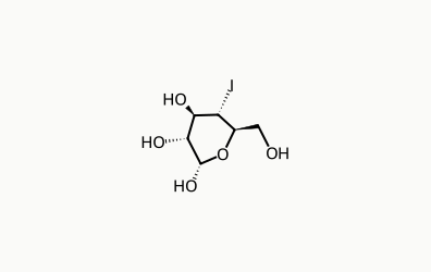 OC[C@H]1O[C@H](O)[C@H](O)[C@@H](O)[C@@H]1I